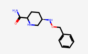 NC(=O)C1CC[C@@H](NOCc2ccccc2)CN1